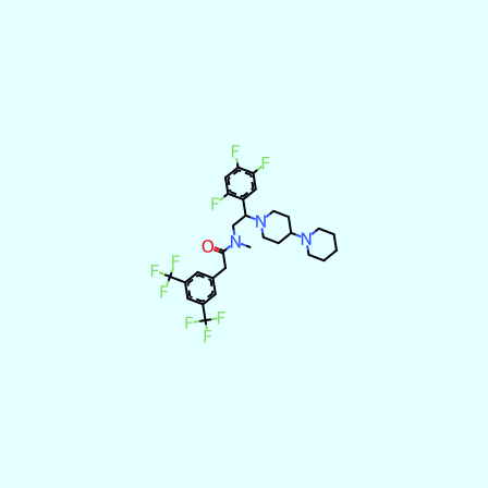 CN(CC(c1cc(F)c(F)cc1F)N1CCC(N2CCCCC2)CC1)C(=O)Cc1cc(C(F)(F)F)cc(C(F)(F)F)c1